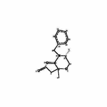 C[C@@H]1COC(C)(CC=O)C(=O)N1Cc1ccccc1